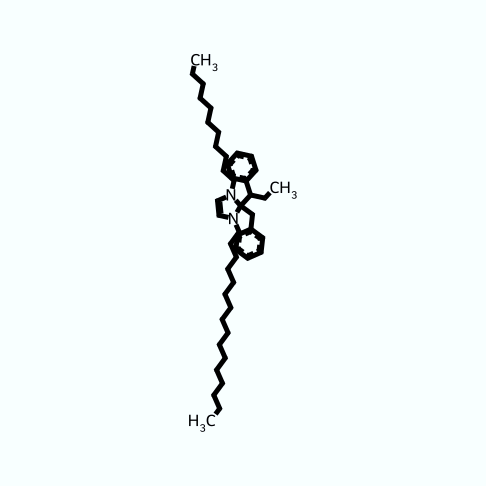 CCCCCCCCCCCCCCCCN1C=CN(CCCCCCCCCCC)C1(Cc1ccccc1)C(CC)c1ccccc1